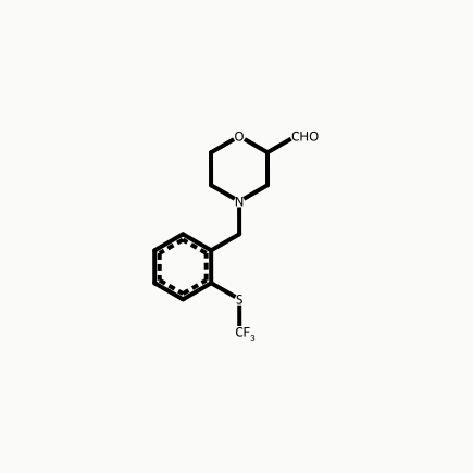 O=CC1CN(Cc2ccccc2SC(F)(F)F)CCO1